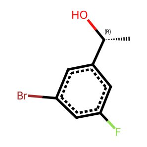 C[C@@H](O)c1cc(F)cc(Br)c1